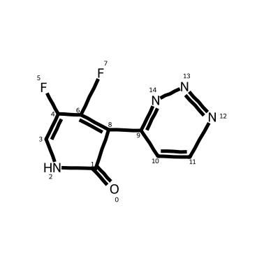 O=c1[nH]cc(F)c(F)c1-c1ccnnn1